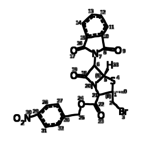 C[C@@]1(CBr)S[C@H]2C(N3C(=O)c4ccccc4C3=O)C(=O)N2C1C(=O)OCc1ccc([N+](=O)[O-])cc1